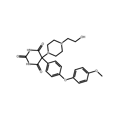 COc1ccc(Oc2ccc(C3(N4CCN(CCO)CC4)C(=O)NC(=O)NC3=O)cc2)cc1